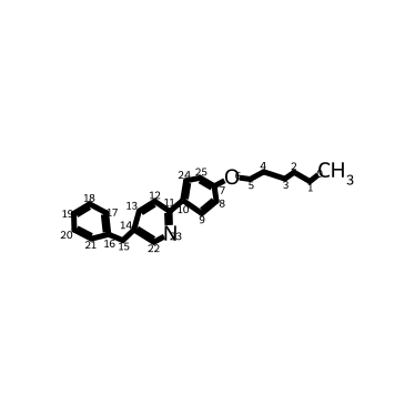 CCCCCCOc1ccc(-c2ccc(Cc3ccccc3)cn2)cc1